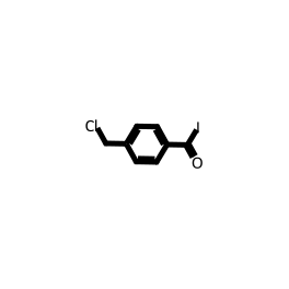 O=C(I)c1ccc(CCl)cc1